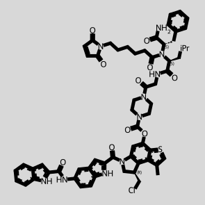 Cc1csc2c(OC(=O)N3CCN(C(=O)CNC(=O)[C@H](CC(C)C)N(C(=O)CCCCCN4C(=O)C=CC4=O)[C@@H](Cc4ccccc4)C(N)=O)CC3)cc3c(c12)[C@@H](CCl)CN3C(=O)c1cc2cc(NC(=O)c3cc4ccccc4[nH]3)ccc2[nH]1